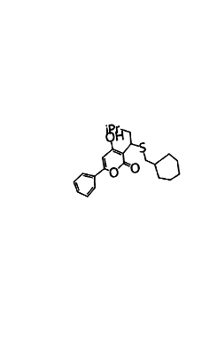 CC(C)CC(SCC1CCCCC1)c1c(O)cc(-c2ccccc2)oc1=O